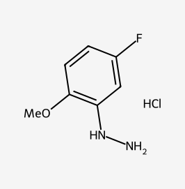 COc1ccc(F)cc1NN.Cl